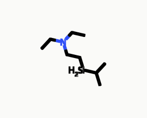 CCN(CC)CC[SiH2]C(C)C